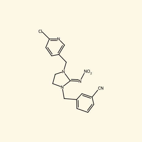 N#Cc1cccc(CN2CCN(Cc3ccc(Cl)nc3)C2=N[N+](=O)[O-])c1